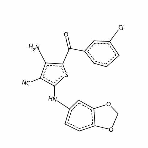 N#Cc1c(Nc2ccc3c(c2)OCO3)sc(C(=O)c2cccc(Cl)c2)c1N